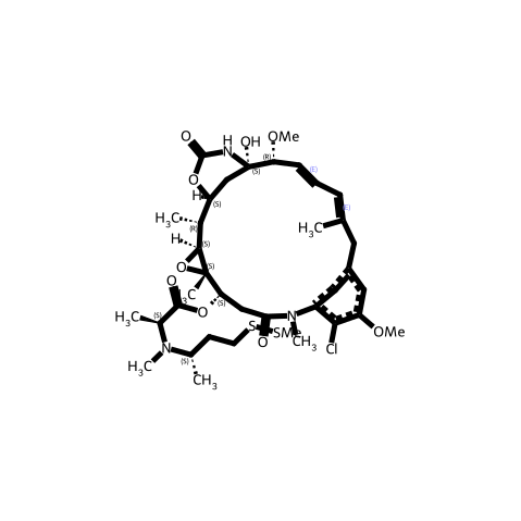 COc1cc2cc(c1Cl)N(C)C(=O)C[C@H](OC(=O)[C@H](C)N(C)[C@@H](C)CCSSC)[C@]1(C)O[C@H]1[C@H](C)[C@@H]1C[C@@](O)(NC(=O)O1)[C@H](OC)/C=C/C=C(\C)C2